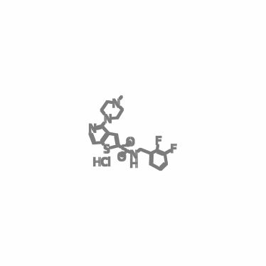 CN1CCN(c2nccc3sc(S(=O)(=O)NCc4cccc(F)c4F)cc23)CC1.Cl